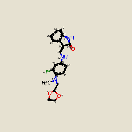 CN(CC1OCCO1)c1ccc(NC=C2C(=O)Nc3ccccc32)cc1F